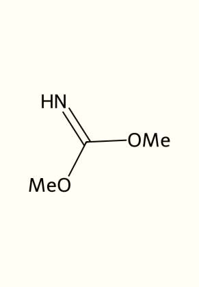 COC(=N)OC